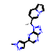 C[C@H](c1ccc2cccn2c1)n1nnc2ncc(-c3cnn(C)c3)nc21